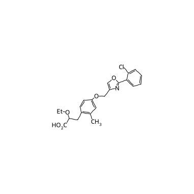 CCOC(Cc1ccc(OCc2coc(-c3ccccc3Cl)n2)cc1C)C(=O)O